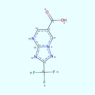 O=C(O)c1[c]n2nc(C(F)(F)F)nc2nc1